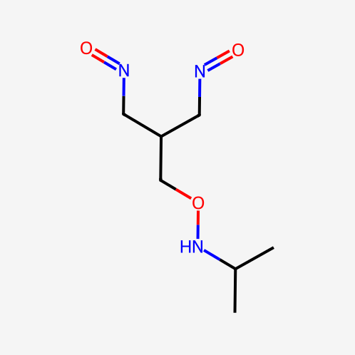 CC(C)NOCC(CN=O)CN=O